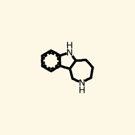 c1ccc2c(c1)NC1CCCNCC21